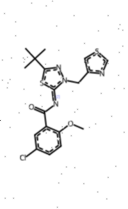 COc1ccc(Cl)cc1C(=O)/N=c1\sc(C(C)(C)C)nn1Cc1cscn1